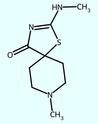 CNC1=NC(=O)C2(CCN(C)CC2)S1